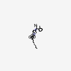 CCCCCCCCS(=O)(=O)O/N=C1C=C/C(=C(\C#N)c2ccccc2C)S\1